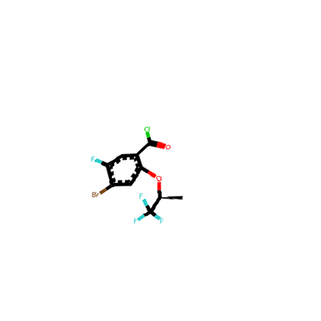 C[C@H](Oc1cc(Br)c(F)cc1C(=O)Cl)C(F)(F)F